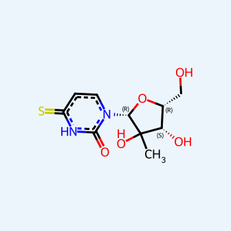 CC1(O)[C@@H](O)[C@@H](CO)O[C@H]1n1ccc(=S)[nH]c1=O